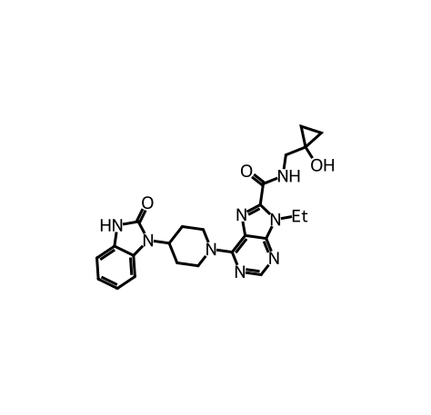 CCn1c(C(=O)NCC2(O)CC2)nc2c(N3CCC(n4c(=O)[nH]c5ccccc54)CC3)ncnc21